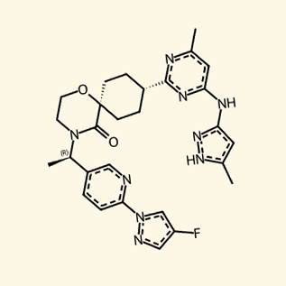 Cc1cc(Nc2cc(C)[nH]n2)nc([C@H]2CC[C@@]3(CC2)OCCN([C@H](C)c2ccc(-n4cc(F)cn4)nc2)C3=O)n1